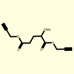 C#CCOC(=O)CCC(OC)C(=O)OCC#C